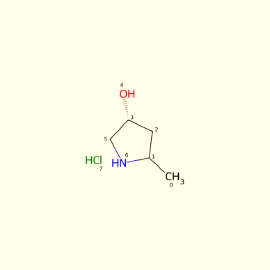 CC1C[C@@H](O)CN1.Cl